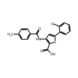 Cc1ccc(C(=O)Nc2cc(-c3ccccc3Cl)sc2C(=O)O)cc1